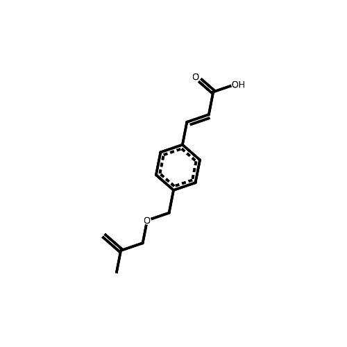 C=C(C)COCc1ccc(/C=C/C(=O)O)cc1